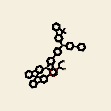 CC(C)CC(c1ccc(-c2ccc3c(c2)C2(c4ccccc4-3)c3ccccc3-c3ccc(-n4c5ccccc5c5cc(-c6ccc(N(c7ccc(-c8ccccc8)cc7)c7ccc8c(c7)C(C)(C)c7ccccc7-8)cc6)ccc54)cc32)cc1)C(C)C